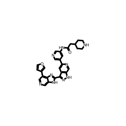 O=C(CC1CCNCC1)Nc1cncc(-c2cc3c(-c4nc5c(-c6ccoc6)cncc5[nH]4)n[nH]c3cn2)c1